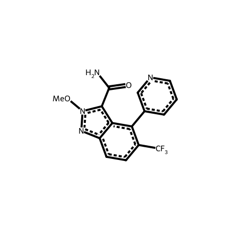 COn1nc2ccc(C(F)(F)F)c(-c3cccnc3)c2c1C(N)=O